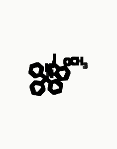 COc1cccc2c1c(I)nn2C(c1ccccc1)(c1ccccc1)c1ccccc1